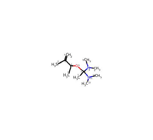 C=C([SiH3])C(C)OC(C)(N(C)C)N(C)C